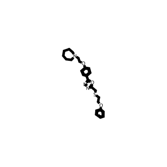 c1ccc(OCCSCc2nnc(-c3ccc(OCCN4CCCCCC4)cc3)o2)cc1